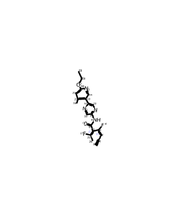 C#C/C=C(F)\C(C(=O)Nc1cnc(-c2cnc(OCC)cc2C)cn1)=C(/C)F